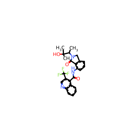 CC(N1Cc2cccc(NC(=O)c3c(C(F)(F)F)cnc4ccccc34)c2C1=O)C(C)(C)O